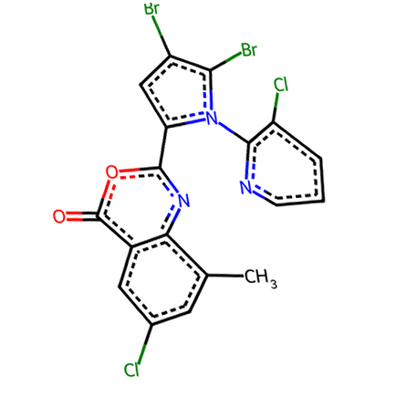 Cc1cc(Cl)cc2c(=O)oc(-c3cc(Br)c(Br)n3-c3ncccc3Cl)nc12